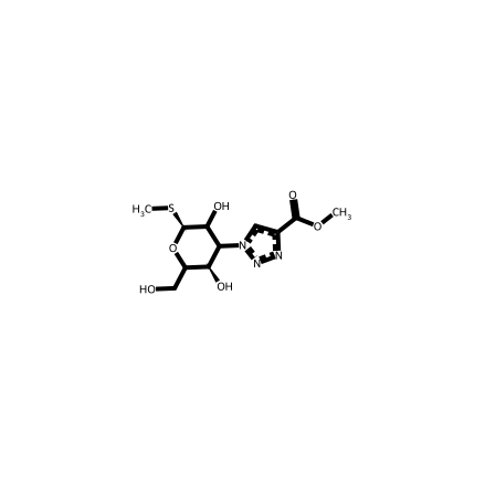 COC(=O)c1cn(C2C(O)[C@H](SC)OC(CO)[C@@H]2O)nn1